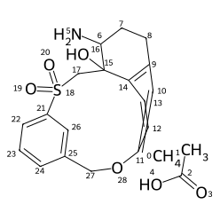 C.CC(=O)O.NC1CCc2cc3ccc2C1(O)CS(=O)(=O)c1cccc(c1)CO3